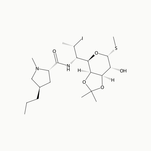 CCC[C@@H]1C[C@@H](C(=O)N[C@@H]([C@H]2O[C@H](SC)[C@H](O)[C@H]3OC(C)(C)O[C@H]32)[C@H](C)I)N(C)C1